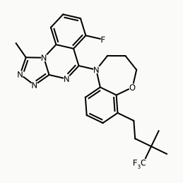 Cc1nnc2nc(N3CCCOc4c(CCC(C)(C)C(F)(F)F)cccc43)c3c(F)cccc3n12